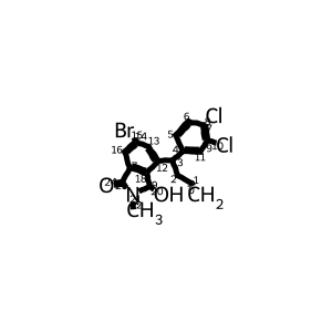 C=CCC(c1ccc(Cl)c(Cl)c1)c1cc(Br)cc2c1C(O)N(C)C2=O